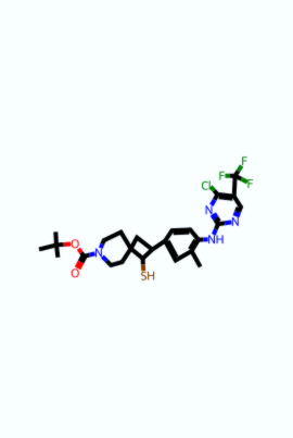 Cc1cc(C2CC3(CCN(C(=O)OC(C)(C)C)CC3)C2S)ccc1Nc1ncc(C(F)(F)F)c(Cl)n1